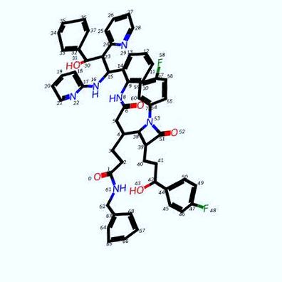 O=C(CCC(CC(=O)Nc1ccccc1C(Nc1ccccn1)C(c1ccccn1)C(O)c1ccccc1)C1C(CCC(O)c2ccc(F)cc2)C(=O)N1c1ccc(F)cc1)NCc1ccccc1